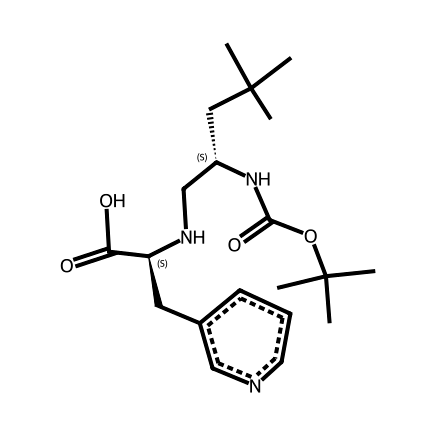 CC(C)(C)C[C@@H](CN[C@@H](Cc1cccnc1)C(=O)O)NC(=O)OC(C)(C)C